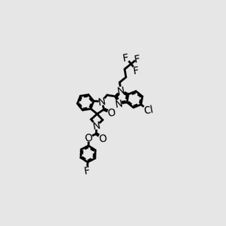 O=C(Oc1ccc(F)cc1)N1CC2(C1)C(=O)N(Cc1nc3cc(Cl)ccc3n1CCCC(F)(F)F)c1ccccc12